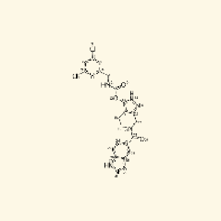 O=C(NCc1cc(Cl)cc(Cl)c1)Oc1[nH]nc2c1CCN(C(=O)c1ccc3[nH]nnc3c1)C2